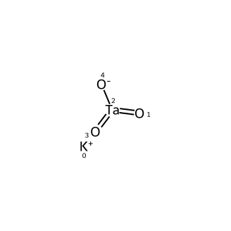 [K+].[O]=[Ta](=[O])[O-]